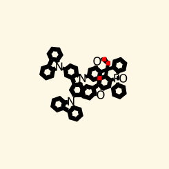 O=P1(c2ccccc2)c2ccccc2C2(c3ccccc3Oc3cc(-n4c5ccc(-n6c7ccccc7c7ccccc76)cc5c5cc(-n6c7ccccc7c7ccccc76)ccc54)ccc32)c2cc3c(cc21)oc1ccccc13